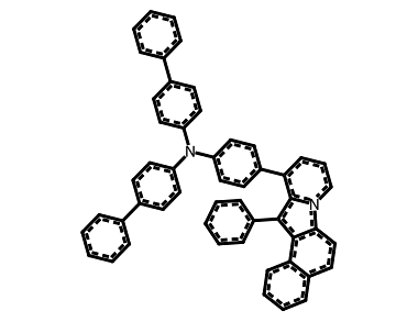 c1ccc(-c2ccc(N(c3ccc(-c4ccccc4)cc3)c3ccc(-c4cccn5c4c(-c4ccccc4)c4c6ccccc6ccc45)cc3)cc2)cc1